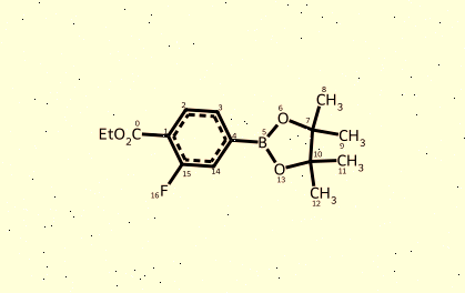 CCOC(=O)c1ccc(B2OC(C)(C)C(C)(C)O2)cc1F